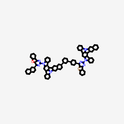 c1cc(-c2ccc(-c3nc(-n4c5ccccc5c5c6c7cc8ccccc8cc7n7c8ccccc8c(cc54)c67)nc4c3sc3ccccc34)cc2)cc(-c2ccc3cc4c(cc3c2)c2c3c5ccccc5n(-c5nc(-c6ccc7ccccc7c6)c6oc7ccccc7c6n5)c3cc3c5ccccc5n4c32)c1